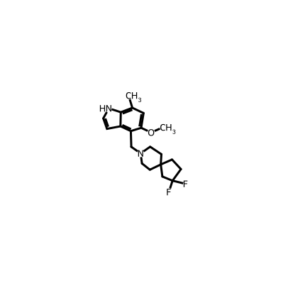 COc1cc(C)c2[nH]ccc2c1CN1CCC2(CC1)CCC(F)(F)C2